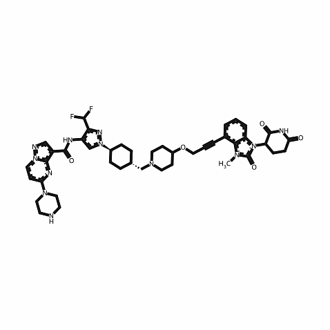 Cn1c(=O)n(C2CCC(=O)NC2=O)c2cccc(C#CCOC3CCN(C[C@H]4CC[C@H](n5cc(NC(=O)c6cnn7ccc(N8CCNCC8)nc67)c(C(F)F)n5)CC4)CC3)c21